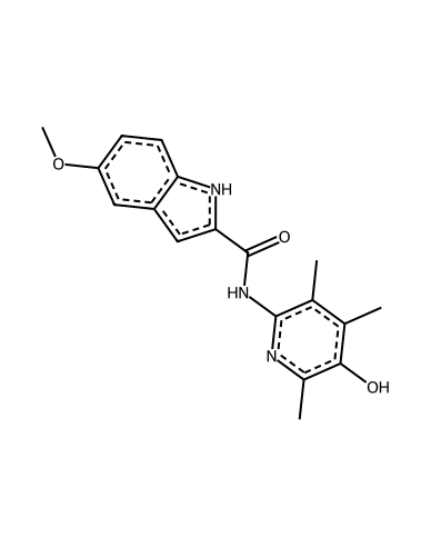 COc1ccc2[nH]c(C(=O)Nc3nc(C)c(O)c(C)c3C)cc2c1